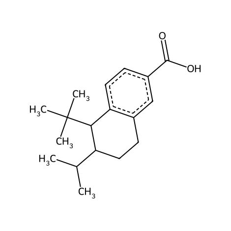 CC(C)C1CCc2cc(C(=O)O)ccc2C1C(C)(C)C